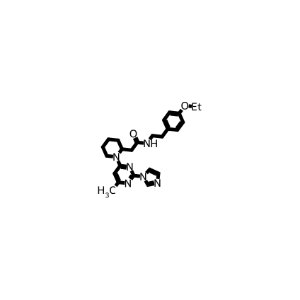 CCOc1ccc(CCNC(=O)CC2CCCCN2c2cc(C)nc(-n3ccnc3)n2)cc1